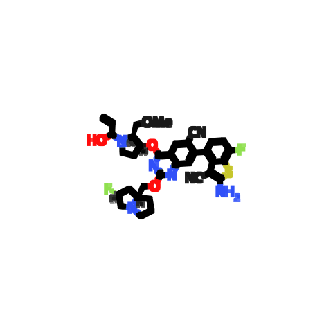 C=CC(O)N1CC[C@@H](Oc2nc(OC[C@@]34CCCN3C[C@H](F)C4)nc3cc(-c4ccc(F)c5sc(N)c(C#N)c45)c(C#N)cc23)[C@@H]1COC